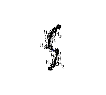 CC(C)(OC(=O)NCCNC(=O)OC[C@]1(C)SCN(C(=O)/C=C/c2cc(C(=O)NCCNC(=O)OC(C)(C)c3ccc(-c4ccccc4)cc3)ccn2)[C@H]1C=O)c1ccc(-c2ccccc2)cc1